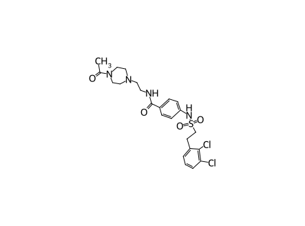 CC(=O)N1CCN(CCNC(=O)c2ccc(NS(=O)(=O)CCc3cccc(Cl)c3Cl)cc2)CC1